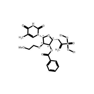 C=C(C[C@H]1O[C@@H](n2cc(C)c(=O)[nH]c2=O)[C@H](OCCOC)[C@@H]1OC(=O)c1ccccc1)P(=O)(OCC)OCC